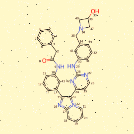 O=C(Cc1ccccc1)Nc1cccc(-c2nc3ccccn3c2-c2ccnc(Nc3cccc(CN4CC(O)C4)c3)n2)c1